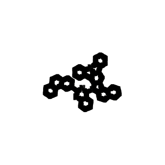 c1ccc2c(c1)ccc1ccc(-c3nc(-n4c5ccc6ccccc6c5c5cc6c7ccccc7n7c8ccccc8c(c54)c67)c4ccccc4n3)cc12